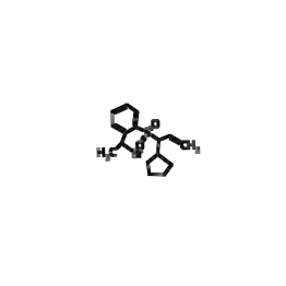 C=CC(C1CCCC1)S(=O)(=O)c1ccccc1C(C)Br